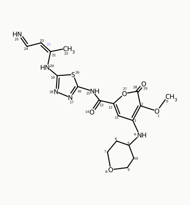 COc1c(NC2CCOCC2)cc(C(=O)Nc2nnc(N/C(C)=C\C=N)s2)oc1=O